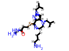 CC(C)CN1C[C@H](CCCCN)N=C(SCCC(=O)NN)c2nn(CC(C)C)cc21